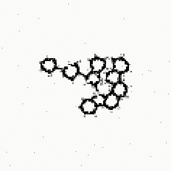 c1ccc(-c2ccc(-c3nc(-n4c5ccccc5c5ccc6ccc7c8ccccc8ccc7c6c54)nc4ccccc34)cc2)cc1